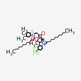 CCCCCCCCCCCCN1/C(=C\C2=C(O)C(=C\C3=[N+](CCCCCCCCCCCC)c4ccc(C(F)(F)F)cc4C3(C)C)/C2=O)Sc2cc(C)c(C)cc21